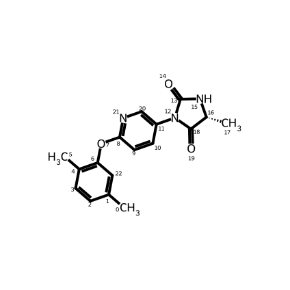 Cc1ccc(C)c(Oc2ccc(N3C(=O)N[C@H](C)C3=O)cn2)c1